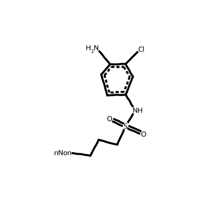 CCCCCCCCCCCCS(=O)(=O)Nc1ccc(N)c(Cl)c1